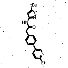 CCc1ccc(-c2ccc(CC(=O)Nc3cc(C(C)(C)C)on3)cc2)cn1